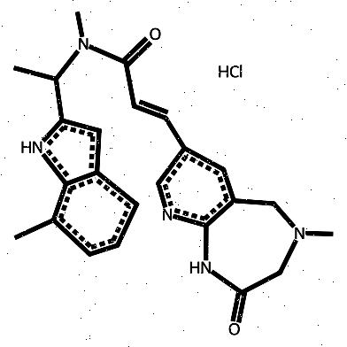 Cc1cccc2cc(C(C)N(C)C(=O)/C=C/c3cnc4c(c3)CN(C)CC(=O)N4)[nH]c12.Cl